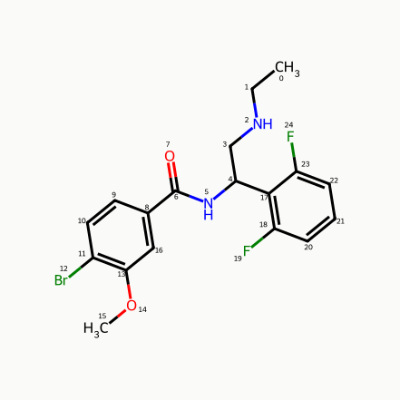 CCNCC(NC(=O)c1ccc(Br)c(OC)c1)c1c(F)cccc1F